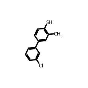 Cc1cc(-c2cccc(Cl)c2)ccc1S